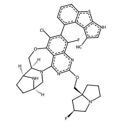 N#Cc1c[nH]c2sc3cccc(-c4c(Cl)c5c6c(nc(OC[C@@]78CCCN7C[C@@H](F)C8)nc6c4F)N4C[C@H]6CC[C@H](N6)[C@H]4CO5)c3c12